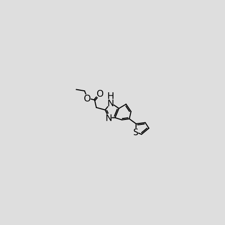 CCOC(=O)Cc1nc2cc(-c3cccs3)ccc2[nH]1